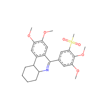 COc1cc2c(cc1OC)C1CCCCC1N=C2c1cc(OC)c(OC)c(S(C)(=O)=O)c1